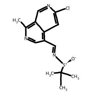 Cc1ncc(/C=N/[S@@+]([O-])C(C)(C)C)c2cc(Cl)ncc12